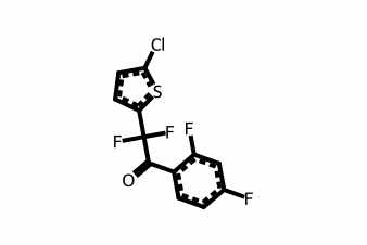 O=C(c1ccc(F)cc1F)C(F)(F)c1ccc(Cl)s1